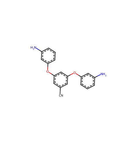 N#Cc1cc(Oc2cccc(N)c2)cc(Oc2cccc(N)c2)c1